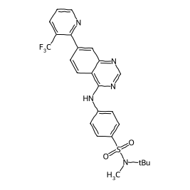 CN(C(C)(C)C)S(=O)(=O)c1ccc(Nc2ncnc3cc(-c4ncccc4C(F)(F)F)ccc23)cc1